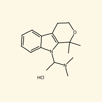 CC(N(C)C)n1c2c(c3ccccc31)CCOC2(C)C.Cl